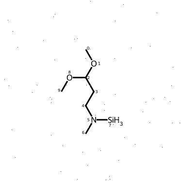 COC(CCN(C)[SiH3])OC